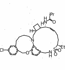 CC[C@@H]1CC/C=C\[C@@H](NC(=O)C(C)C)[C@@H]2CC[C@H]2CN2CCCCc3cc(Cl)ccc3COc3ccc(cc32)CNS1(=O)=O